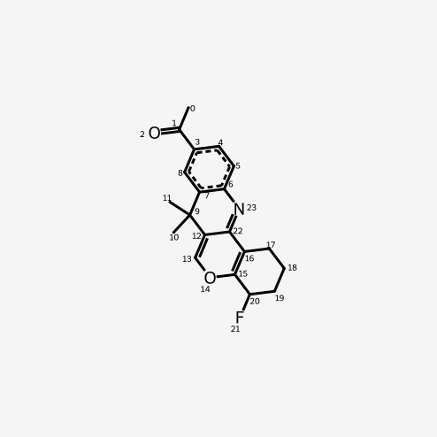 CC(=O)c1ccc2c(c1)C(C)(C)C1=COC3=C(CCCC3F)C1=N2